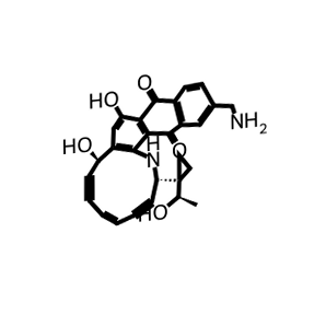 C[C@@H](O)C1([C@@H]2C#C/C=C\C#C[C@@H](O)c3cc(O)c4c(c3N2)C(=O)c2cc(CN)ccc2C4=O)CC1